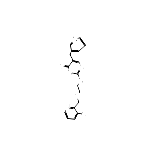 Nc1cccnc1CSCCNc1ncc(Cc2cccnc2)c(=S)[nH]1